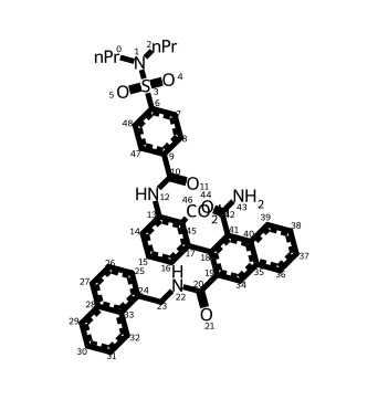 CCCN(CCC)S(=O)(=O)c1ccc(C(=O)Nc2cccc(-c3c(C(=O)NCc4cccc5ccccc45)cc4ccccc4c3C(N)=O)c2C(=O)O)cc1